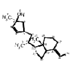 C[C@H](C[C@H]1C=C[C@@](C)(O)C1)[C@H]1CCC2C(=CI)CCC[C@]21C